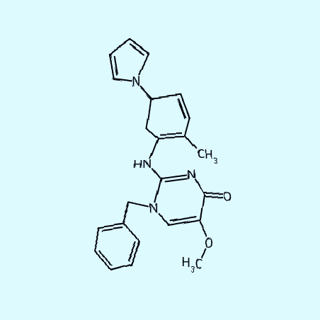 COc1cn(Cc2ccccc2)c(NC2=C(C)C=CC(n3cccc3)C2)nc1=O